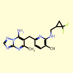 Cc1nc2ncnn2c(N)c1Cc1ccc(C#N)c(NCC2CC2(F)F)n1